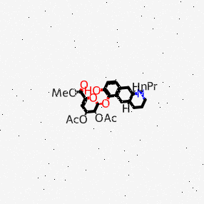 CCCN1CCC[C@@H]2Cc3c(ccc(O)c3O[C@@H]3OC(C(=O)OC)=C[C@H](OC(C)=O)[C@H]3OC(C)=O)C[C@H]21